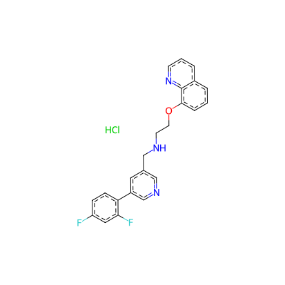 Cl.Fc1ccc(-c2cncc(CNCCOc3cccc4cccnc34)c2)c(F)c1